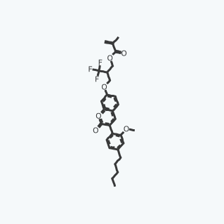 C=C(C)C(=O)OCC(COc1ccc2cc(-c3ccc(CCCCC)cc3OC)c(=O)oc2c1)C(F)(F)F